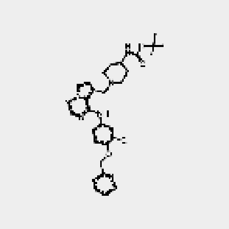 CC(C)(C)OC(=O)NC1CCN(Cc2ccn3ncnc(Nc4ccc(OCc5ccccn5)c(Cl)c4)c23)CC1